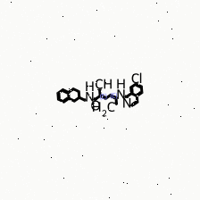 C#C/C(=C\C=C(/C=C)Nc1nccc2ccc(Cl)cc12)C(=O)NCC1CCc2ccccc2C1